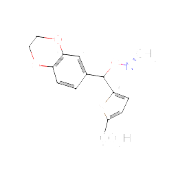 C=NOC(c1ccc2c(c1)OCCO2)c1ccc(C(=O)O)s1